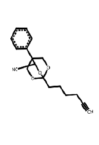 C#CCCCCC12OCC(c3ccccc3)(CO1)C(C#N)O2